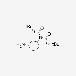 CC(C)(C)OC(=O)N(C(=O)OC(C)(C)C)C1CCCC(N)C1